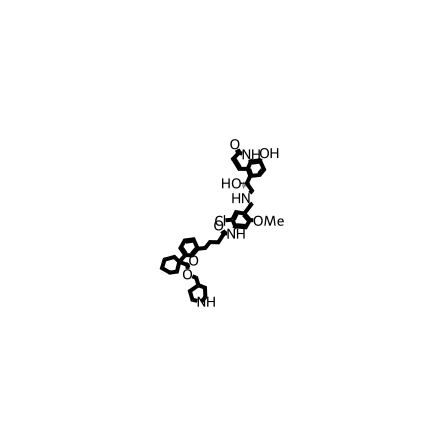 COc1cc(NC(=O)CCCc2cccc(C3(C(=O)OCC4CCNCC4)CCCCC3)c2)c(Cl)cc1CNC[C@H](O)c1ccc(O)c2[nH]c(=O)ccc12